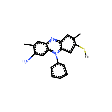 Cc1cc2nc3cc(C)c(SC#N)cc3[n+](-c3ccccc3)c2cc1N